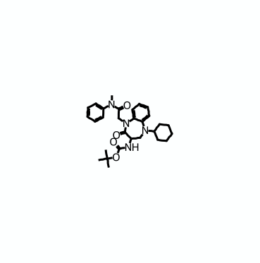 CN(C(=O)CN1C(=O)C(NC(=O)OC(C)(C)C)CN(C2CCCCC2)c2ccccc21)c1ccccc1